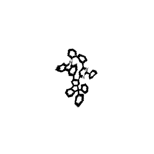 c1ccc(-c2cc(-c3cc4c(cc3-c3ccc5c(c3)c3ccccc3n5-c3ccccc3)-c3ccccc3C4(c3ccccc3)c3ccccc3)nc(-c3ccccc3)n2)cc1